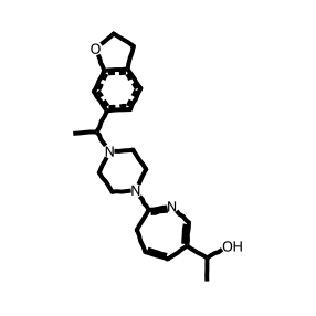 CC(O)C1=CN=C(N2CCN(C(C)c3ccc4c(c3)OCC4)CC2)CC=C1